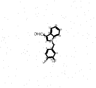 O=Cc1cn(Cc2ccc(F)c(F)c2)c2ccccc12